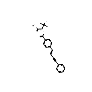 CC(C)(N)[C@H](NC(=O)c1ccc(/C=C/C#Cc2ccccc2)cc1)C(=O)NO